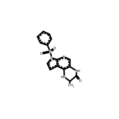 CC1Nc2c(cnc3c2ccn3S(=O)(=O)c2ccccc2)NC1=O